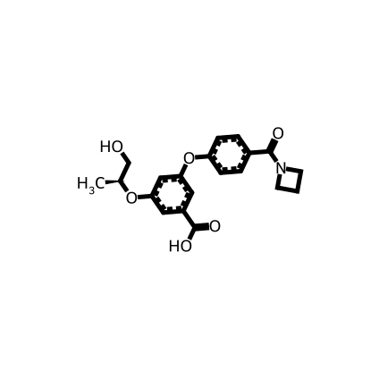 C[C@@H](CO)Oc1cc(Oc2ccc(C(=O)N3CCC3)cc2)cc(C(=O)O)c1